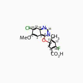 COc1cc2c(Oc3cc(C(=O)O)c(F)cc3C)ncnc2cc1Cl